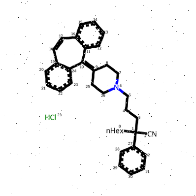 CCCCCCC(C#N)(CCCN1CCC(=C2c3ccccc3C=Cc3ccccc32)CC1)c1ccccc1.Cl